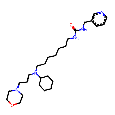 O=C(NCCCCCCCN(CCCN1CCOCC1)C1CCCCC1)NCc1cccnc1